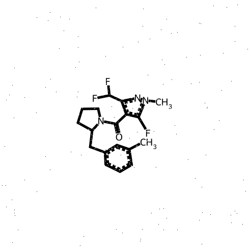 Cc1cccc(CC2CCCN2C(=O)c2c(C(F)F)nn(C)c2F)c1